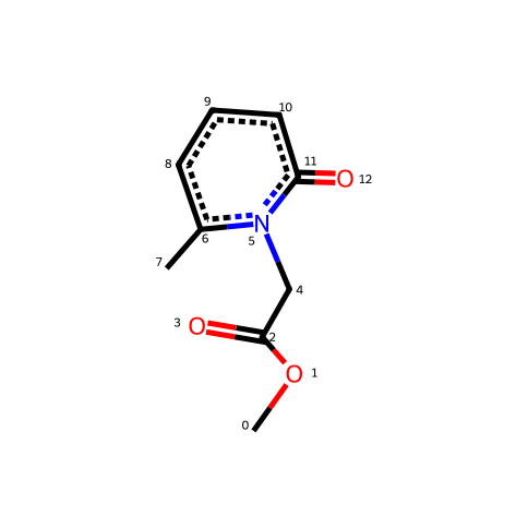 COC(=O)Cn1c(C)cccc1=O